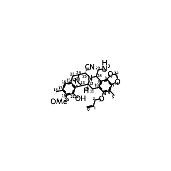 C=CCOc1c(C)c2c(c3c1C[C@H]1C4c5c(cc(C)c(OC)c5O)CC([C@H](C#N)N1C3CN)N4C)OCO2